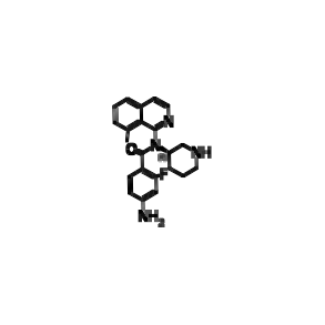 Cc1cccc2ccnc(N(C(=O)c3ccc(N)cc3F)[C@@H]3CCCNC3)c12